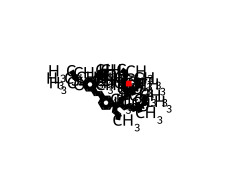 C=C1/C(=C\C=C2/CCC[C@](C)(C(CCC)C(CCCC(C)(C)O[Si](C)(C)C)CCC(O[Si](C)(C)C(C)(C)C(C)C)C(C)(C)O[Si](C)(C)C)C2)C[C@@H](O[Si](C)(C)C(C)(C)C)C[C@@H]1CC(C)(C)[Si](C)(C)O